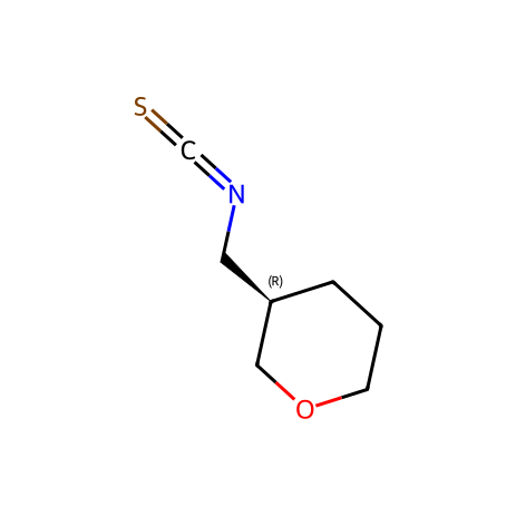 S=C=NC[C@H]1CCCOC1